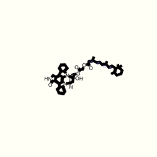 CC1=C(/C=C/C(C)=C/C=C/C(C)=C\C(=O)OCC(=O)OC[C@@]2(O)C[C@@H]3O[C@]2(C)n2c4ccccc4c4c5c(c6c7ccccc7n3c6c42)C(=O)NC5)C(C)(C)CCC1